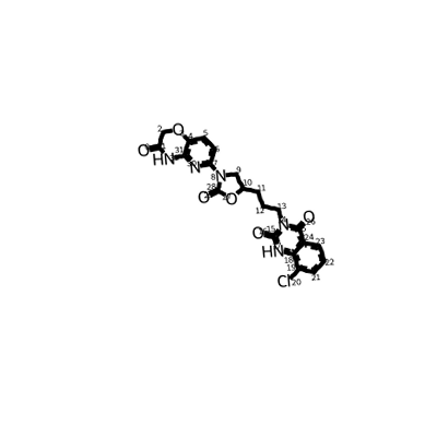 O=C1COc2ccc(N3CC(CCCn4c(=O)[nH]c5c(Cl)cccc5c4=O)OC3=O)nc2N1